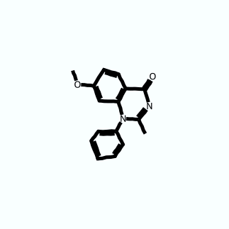 COc1ccc2c(=O)nc(C)n(-c3ccccc3)c2c1